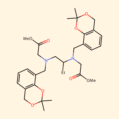 CCC(CN(CC(=O)OC)Cc1cccc2c1OC(C)(C)OC2)N(CC(=O)OC)Cc1cccc2c1OC(C)(C)OC2